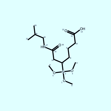 CO[Si](OC)(OC)C(CCCC(=O)O)CC(=O)NCC(C)C